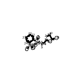 C[C@@H]1C[C@@H]([C@@H]2CN2S(=O)(=O)c2ccccc2[N+](=O)[O-])OC1=O